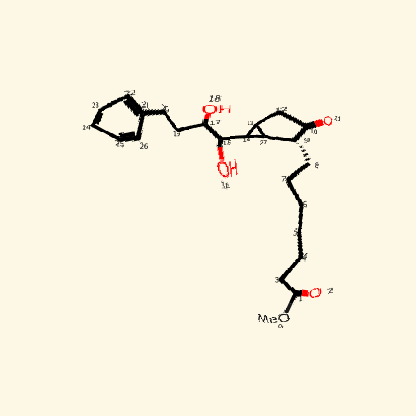 COC(=O)CCCCCC[C@H]1C(=O)CC2C(C(O)C(O)CCc3ccccc3)C21